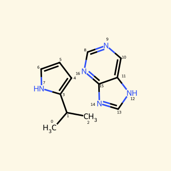 CC(C)c1ccc[nH]1.c1ncc2[nH]cnc2n1